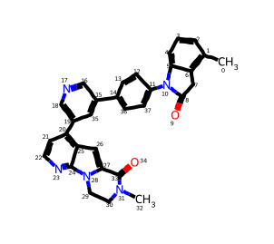 Cc1cccc2c1CC(=O)N2c1ccc(-c2cncc(-c3ccnc4c3cc3n4CCN(C)C3=O)c2)cc1